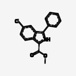 COC(=O)c1[nH]c(-c2ccccc2)c2cc(Cl)ccc12